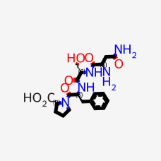 NC(=O)C[C@H](N)C(=O)N[C@@H](CO)C(=O)N[C@@H](Cc1ccccc1)C(=O)N1CCC[C@@H]1C(=O)O